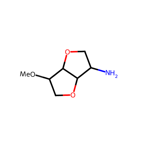 COC1COC2C(N)COC12